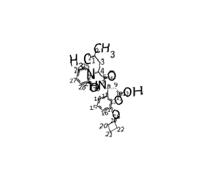 CC(C)CC(C(=O)N[C@H](CC(=O)O)c1cccc(OC2CCC2)c1)n1ccccc1=O